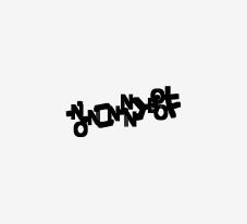 CN(C)C(=O)N1CCN(c2ncc(B3OC(C)(C)C(C)(C)O3)cn2)CC1